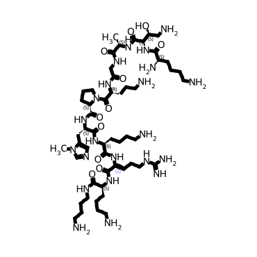 C[C@H](NC(=O)[C@@H](NC(=O)[C@@H](N)CCCCN)[C@@H](O)CN)C(=O)NCC(=O)N[C@H](CCCN)C(=O)N1CCC[C@H]1C(=O)N[C@@H](Cc1cncn1C)C(=O)N[C@@H](CCCCN)C(=O)N/C(=C\CCNC(=N)N)C(=O)N[C@@H](CCCCN)C(=O)NCCCCN